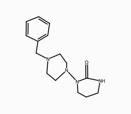 O=C1NCCCN1N1CCN(Cc2ccccc2)CC1